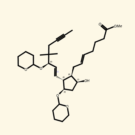 CC#CCC(C)(C)[C@@H](/C=C/[C@@H]1[C@@H](CC=CCCCC(=O)OC)[C@@H](O)C[C@H]1OC1CCCCO1)OC1CCCCO1